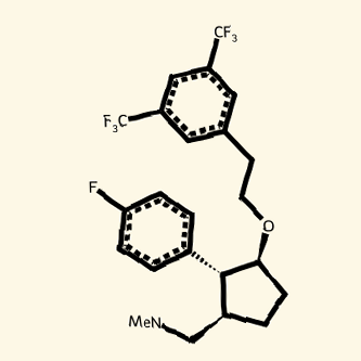 CNC[C@@H]1CC[C@H](OCCc2cc(C(F)(F)F)cc(C(F)(F)F)c2)[C@H]1c1ccc(F)cc1